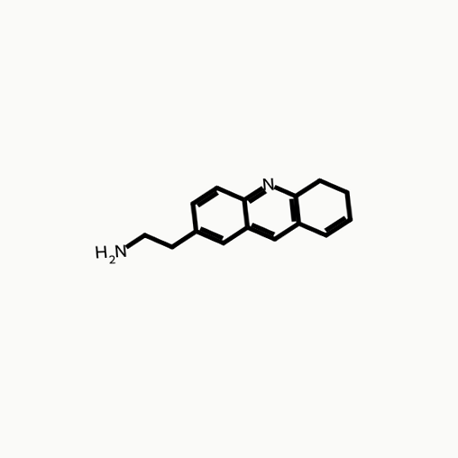 NCCc1ccc2nc3c(cc2c1)C=CCC3